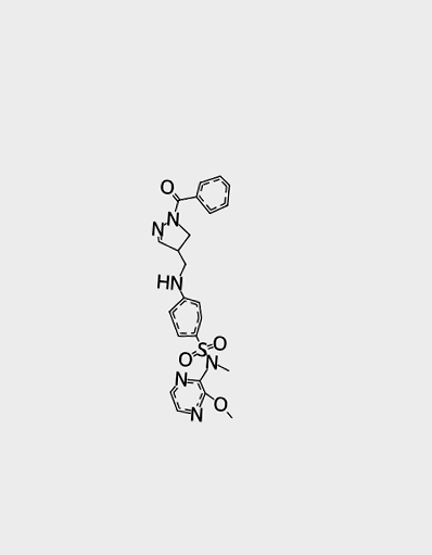 COc1nccnc1N(C)S(=O)(=O)c1ccc(NCC2C=NN(C(=O)c3ccccc3)C2)cc1